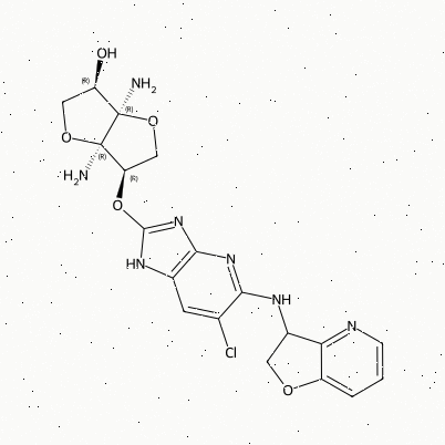 N[C@]12OC[C@@H](Oc3nc4nc(NC5COc6cccnc65)c(Cl)cc4[nH]3)[C@@]1(N)OC[C@H]2O